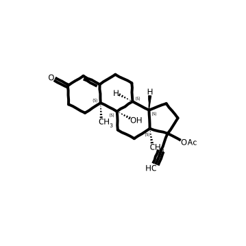 C#CC1(OC(C)=O)CC[C@H]2[C@@H]3CCC4=CC(=O)CC[C@]4(C)[C@]3(O)CC[C@@]21C